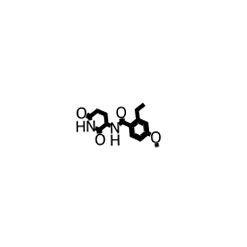 CCc1cc(OC)ccc1C(=O)NC1CCC(=O)NC1=O